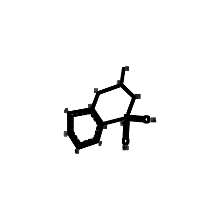 CC1Cc2ccccc2S(=O)(=O)C1